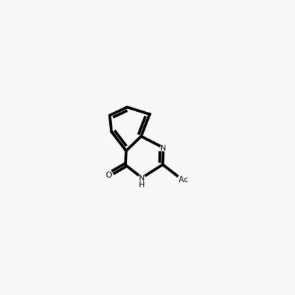 CC(=O)c1nc2ccccc2c(=O)[nH]1